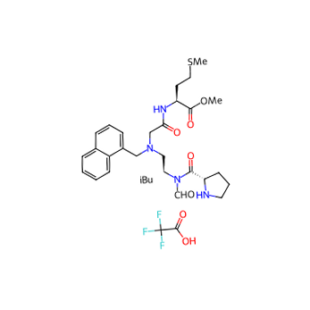 CC[C@H](C)[C@@H](CN(CC(=O)N[C@@H](CCSC)C(=O)OC)Cc1cccc2ccccc12)N(C=O)C(=O)[C@@H]1CCCN1.O=C(O)C(F)(F)F